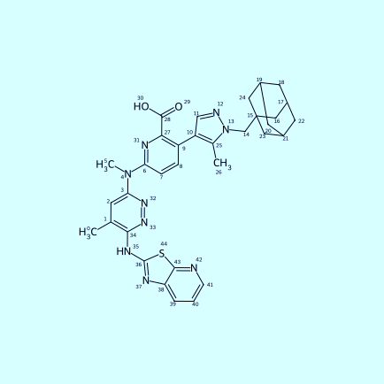 Cc1cc(N(C)c2ccc(-c3cnn(CC45CC6CC(CC(C6)C4)C5)c3C)c(C(=O)O)n2)nnc1Nc1nc2cccnc2s1